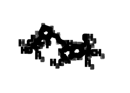 Cc1nc(NCCc2cccc(C(F)(F)C(C)(C)O)c2F)c2cc3c(cc2n1)C(C)(C)CN3C